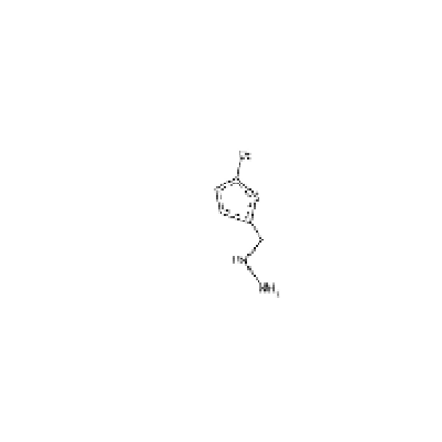 CCc1ccc(CNN)s1